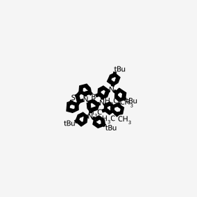 Cc1cc2c(cc1N1c3cc(N(c4ccc(C(C)(C)C)cc4)c4ccc(C(C)(C)C)cc4)ccc3B3c4c1cc(N(c1ccc(C(C)(C)C)cc1)c1ccc(C(C)(C)C)cc1)cc4-n1c4c3cccc4c3sc4ccccc4c31)C(C)(C)CCC2(C)C